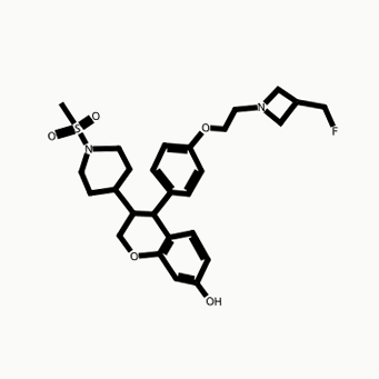 CS(=O)(=O)N1CCC(C2COc3cc(O)ccc3C2c2ccc(OCCN3CC(CF)C3)cc2)CC1